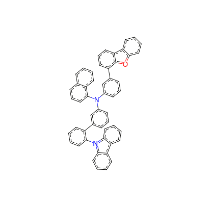 c1cc(-c2ccccc2-n2c3ccccc3c3ccccc32)cc(N(c2cccc(-c3cccc4c3oc3ccccc34)c2)c2cccc3ccccc23)c1